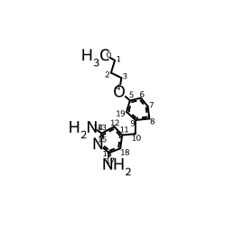 CCCCOc1cccc(Cc2cc(N)nc(N)c2)c1